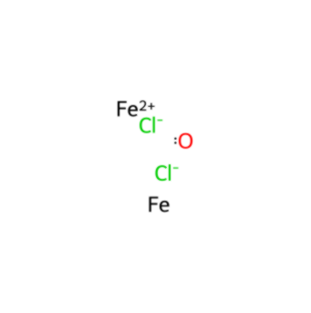 [Cl-].[Cl-].[Fe+2].[Fe].[O]